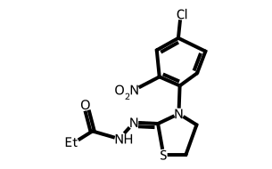 CCC(=O)NN=C1SCCN1c1ccc(Cl)cc1[N+](=O)[O-]